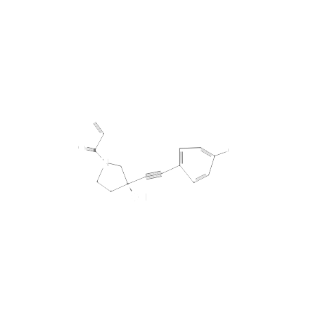 C=CC(=O)N1CC[C@@](O)(C#Cc2ccc(C(F)(F)F)cc2)C1